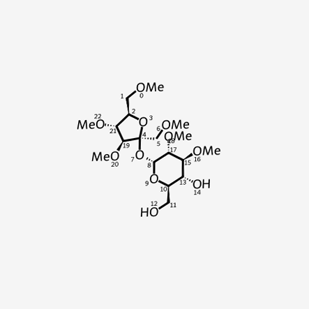 COC[C@H]1O[C@@](COC)(O[C@H]2O[C@H](CO)[C@@H](O)[C@H](OC)[C@H]2OC)[C@@H](OC)[C@@H]1OC